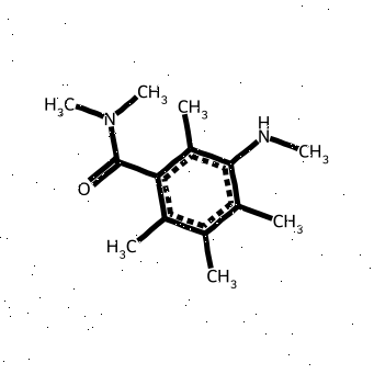 CNc1c(C)c(C)c(C)c(C(=O)N(C)C)c1C